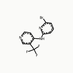 FC(F)(F)c1cnccc1Nc1cccc(Br)n1